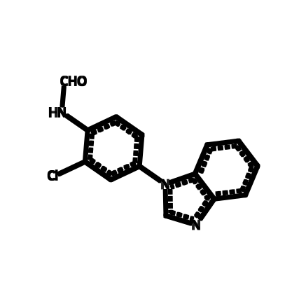 O=CNc1ccc(-n2cnc3ccccc32)cc1Cl